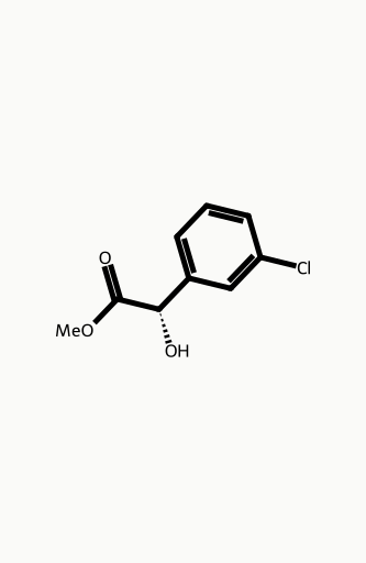 COC(=O)[C@@H](O)c1cccc(Cl)c1